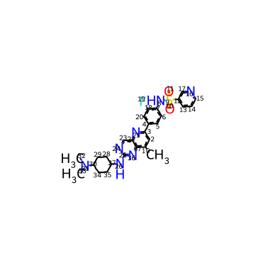 Cc1cc(-c2ccc(NS(=O)(=O)c3cccnc3)c(F)c2)nc2cnc(NC3CCC(N(C)C)CC3)nc12